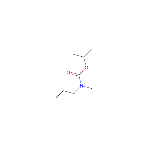 CCCN(C)C(=O)OC(C)C